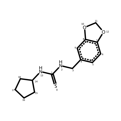 S=C(NCc1ccc2c(c1)OCO2)NC1CCCC1